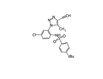 C#Cc1nnn(-c2cc(Cl)ccc2NS(=O)(=O)c2ccc(C(C)(C)C)cc2)c1C